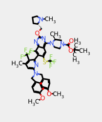 COc1ccc(CN(Cc2ccc(OC)cc2)c2cc(C)c(C(F)(F)F)c(-c3c(SC(F)(F)F)cc4c(N5CCN(C(=O)OC(C)(C)C)C[C@@H]5C)nc(OC[C@@H]5CCCN5C)nc4c3F)n2)cc1